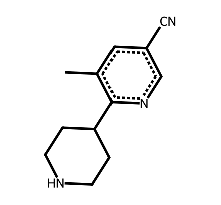 Cc1cc(C#N)cnc1C1CCNCC1